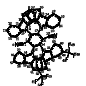 N#Cc1c(-n2c3ccccc3c3ccccc32)c(-n2c3ccccc3c3ccccc32)c(C#N)c(-n2c3ccccc3c3cc(C(F)(F)F)ccc32)c1-n1c2ccccc2c2cc(C(F)(F)F)ccc21